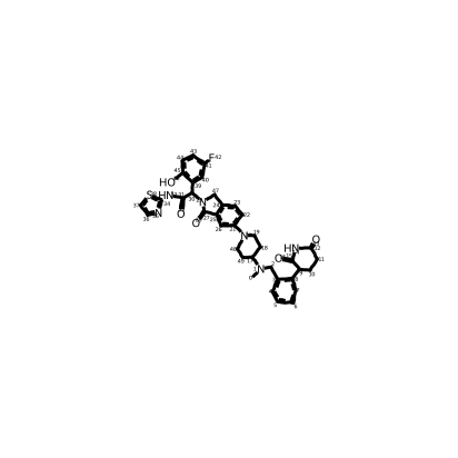 CN(Cc1ccccc1C1CCC(=O)NC1=O)C1CCN(c2ccc3c(c2)C(=O)N(C(C(=O)Nc2nccs2)c2cc(F)ccc2O)C3)CC1